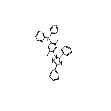 Cc1cc(-n2nc(-c3ccccc3)nc2-c2ccccc2)c(C)cc1N(c1ccccc1)c1ccccc1